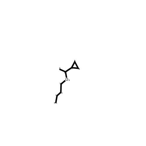 [CH2]CCCOC(C)C1CC1